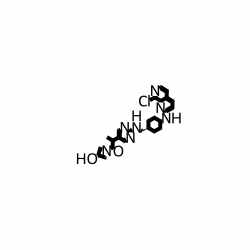 CC(C(=O)N1CC(O)C1)c1cnc(NC[C@H]2CC[C@H](Nc3ccc4ccnc(Cl)c4n3)CC2)nc1